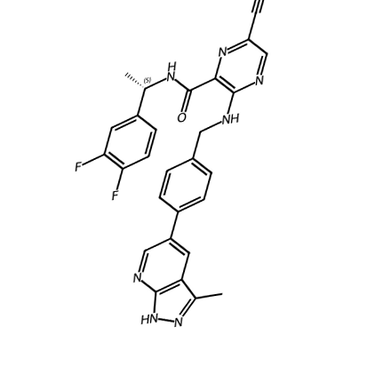 Cc1n[nH]c2ncc(-c3ccc(CNc4ncc(C#N)nc4C(=O)N[C@@H](C)c4ccc(F)c(F)c4)cc3)cc12